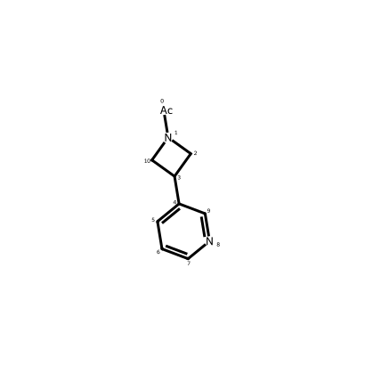 CC(=O)N1CC(c2cccnc2)C1